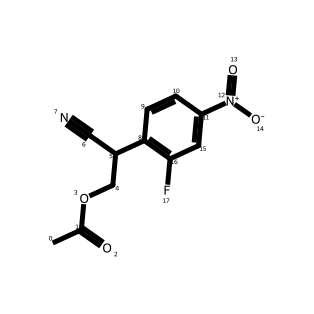 CC(=O)OCC(C#N)c1ccc([N+](=O)[O-])cc1F